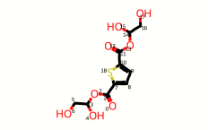 O=C(OC(O)CO)c1ccc(C(=O)OC(O)CO)s1